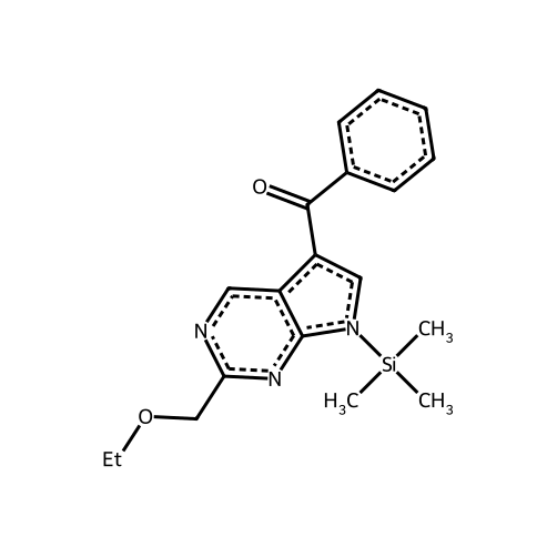 CCOCc1ncc2c(C(=O)c3ccccc3)cn([Si](C)(C)C)c2n1